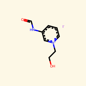 O=CNc1ccc[n+](CCO)c1.[I-]